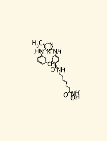 Cc1cccc(Nc2nc(Nc3ccc(C(=O)NCCCCCCC(=O)NO)cc3)ncc2C)c1